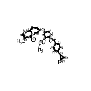 COc1cc(Oc2ccc3ncc(C)c(=O)n3c2)cnc1OCc1ccc(C2CC2F)cc1